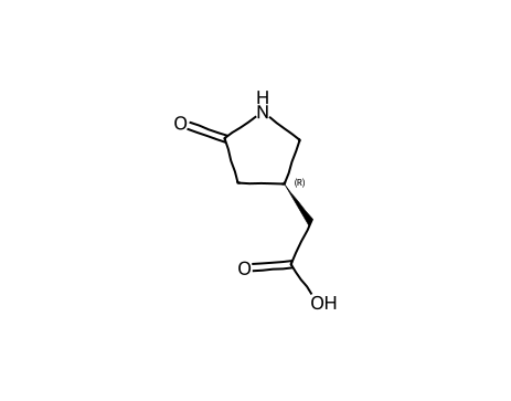 O=C(O)C[C@@H]1CNC(=O)C1